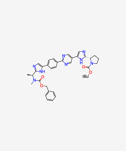 C[C@@H](c1ncc(-c2ccc(-c3ncc(-c4cnc([C@@H]5CCCN5C(=O)OC(C)(C)C)[nH]4)cn3)cc2)[nH]1)N(C)C(=O)OCc1ccccc1